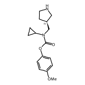 COc1ccc(OC(=O)N(C[C@H]2CCNC2)C2CC2)cc1